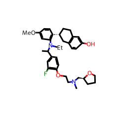 CCN(c1cc(OC)ccc1[C@@H]1CCc2cc(O)ccc2C1)C(C)c1ccc(OCCN(C)C[C@@H]2CCCO2)c(F)c1